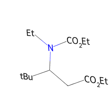 CCOC(=O)CC(N(CC)C(=O)OCC)C(C)(C)C